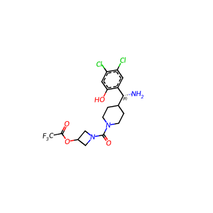 N[C@@H](c1cc(Cl)c(Cl)cc1O)C1CCN(C(=O)N2CC(OC(=O)C(F)(F)F)C2)CC1